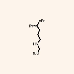 CCCC(CCCNCC(C)(C)C)C(C)C